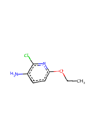 CCOc1ccc(N)c(Cl)n1